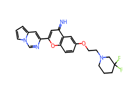 N=c1cc(-c2cc3cccn3cn2)oc2ccc(OCCN3CCCC(F)(F)C3)cc12